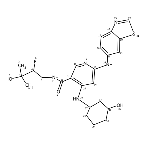 CC(C)(O)C(F)CNC(=O)c1cnc(Nc2ccc3ncsc3c2)cc1NC1CCCC(O)C1